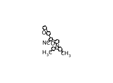 Cc1ccc2c(c1)c1cc(C)ccc1n2-c1cccc2c1oc1c(C#N)cc(-c3ccc4c(c3)oc3ccccc34)cc12